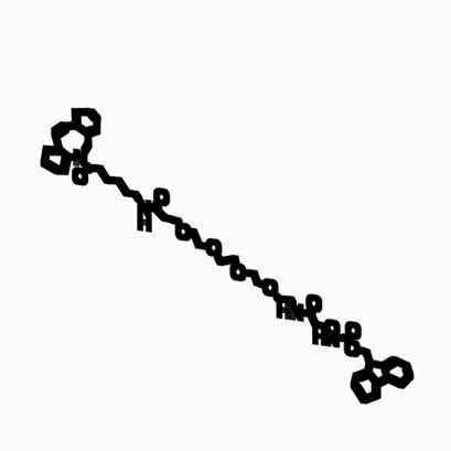 O=C(CCOCCOCCOCCOCCNC(=O)CONC(=O)OCC1c2ccccc2-c2ccccc21)NCCCCCC(=O)N1Cc2ccccc2C#Cc2ccccc21